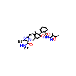 CCCc1nc(CC)c(C(=O)NCC)n1Cc1ccc(-c2ccccc2S(=O)(=O)Nc2noc(C)c2C)c(C)c1